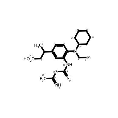 CC(C)CN(c1ccc(C(C)CC(=O)O)cc1NC(=N)SC(=N)C(F)(F)F)C1CCCCC1